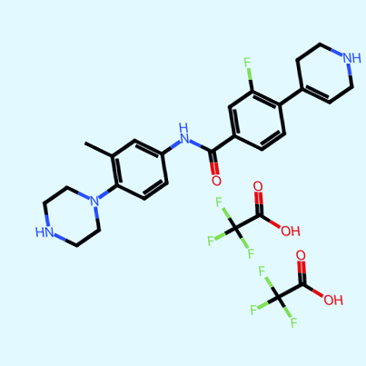 Cc1cc(NC(=O)c2ccc(C3=CCNCC3)c(F)c2)ccc1N1CCNCC1.O=C(O)C(F)(F)F.O=C(O)C(F)(F)F